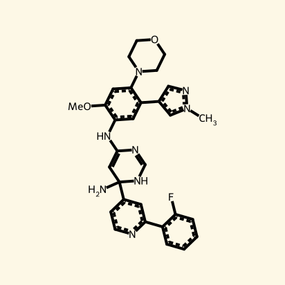 COc1cc(N2CCOCC2)c(-c2cnn(C)c2)cc1NC1=CC(N)(c2ccnc(-c3ccccc3F)c2)NC=N1